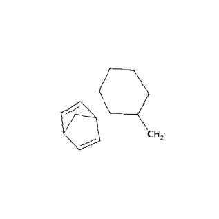 C1=CC2C=CC1C2.[CH2]C1CCCCC1